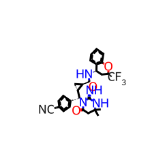 CC1(C)CC(=O)N([C@H](c2ccc(C#N)cc2)[C@@H]2C[C@H]2C(=O)N[C@H]2C[C@H](C(F)(F)F)Oc3ccccc32)C(=N)N1